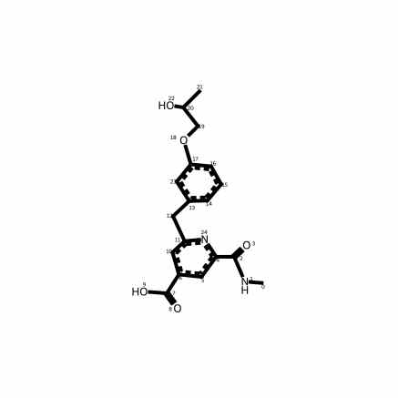 CNC(=O)c1cc(C(=O)O)cc(Cc2cccc(OCC(C)O)c2)n1